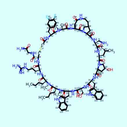 CCCC[C@H]1C(=O)N(C)[C@@H](CCCC)C(=O)N[C@@H](CCCNC(=N)N)C(=O)N[C@H](C(=O)NCC(N)=O)CSCC(=O)N[C@@H](Cc2ccc(F)c(F)c2)C(=O)N(C)[C@@H](C)C(=O)N[C@H]2CC(=O)NCCC3C[C@@H](C(=O)N[C@@H](CN)C(=O)N[C@@H](CC(C)C)C(=O)N4C[C@H](O)C[C@H]4C(=O)N[C@@H](Cc4c[nH]c5ccccc45)C(=O)N[C@@H](CO)C(=O)N[C@@H](Cc4c[nH]c5ccccc45)C(=O)N1C)N(C3)C2=O